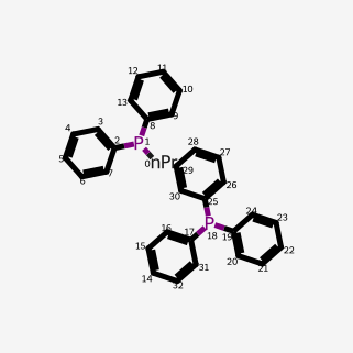 CCCP(c1ccccc1)c1ccccc1.c1ccc(P(c2ccccc2)c2ccccc2)cc1